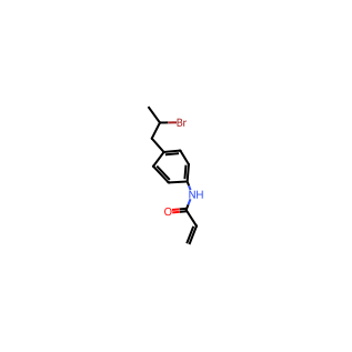 C=CC(=O)Nc1ccc(CC(C)Br)cc1